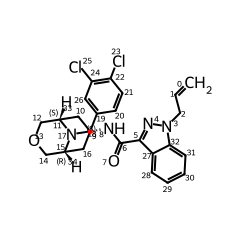 C=CCn1nc(C(=O)N[C@H]2C[C@H]3COC[C@@H](C2)N3Cc2ccc(Cl)c(Cl)c2)c2ccccc21